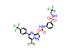 O=C(Nc1cccc(S(=O)(=O)NCC(F)(F)F)c1)Oc1cnn2c(C(F)F)cc(-c3ccc(C(F)(F)F)cc3)nc12